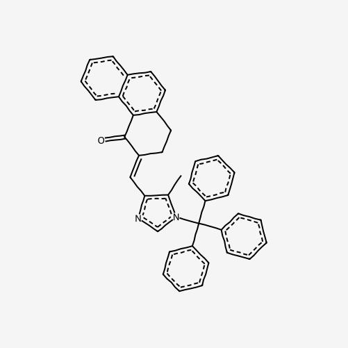 Cc1c(/C=C2\CCc3ccc4ccccc4c3C2=O)ncn1C(c1ccccc1)(c1ccccc1)c1ccccc1